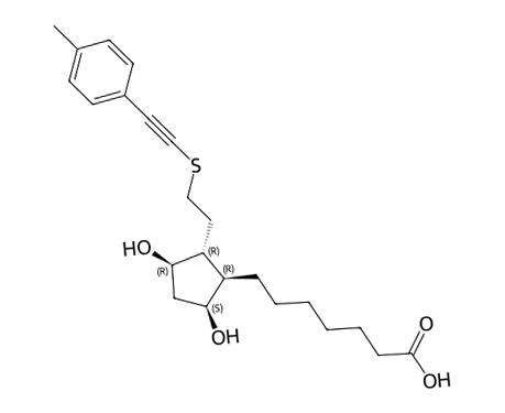 Cc1ccc(C#CSCC[C@@H]2[C@@H](CCCCCCC(=O)O)[C@@H](O)C[C@H]2O)cc1